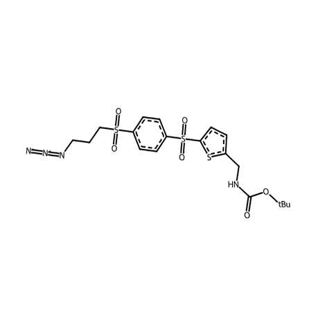 CC(C)(C)OC(=O)NCc1ccc(S(=O)(=O)c2ccc(S(=O)(=O)CCCN=[N+]=[N-])cc2)s1